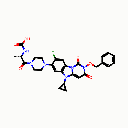 C[C@H](NC(=O)O)C(=O)N1CCN(c2cc3c(cc2F)n2c(=O)n(OCc4ccccc4)c(=O)cc2n3C2CC2)CC1